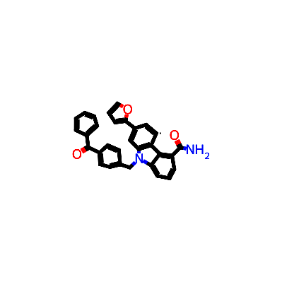 NC(=O)c1cccc2c1c1[c]cc(-c3ccco3)cc1n2Cc1ccc(C(=O)c2ccccc2)cc1